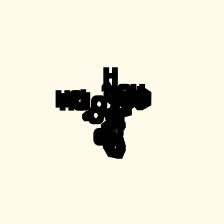 CCOC(=O)c1c(CS(=O)(=O)c2ccccc2)n(C)c2cc(-c3ccccn3)c(O)c(CNC)c12.Cl.Cl